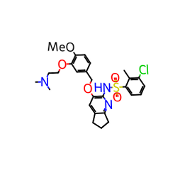 COc1ccc(COc2cc3c(nc2NS(=O)(=O)c2cccc(Cl)c2C)CCC3)cc1OCCN(C)C